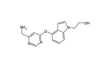 NCc1cc(Oc2cccc3c2ccn3CCO)ncn1